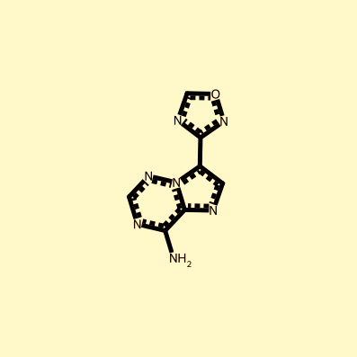 Nc1ncnn2c(-c3ncon3)cnc12